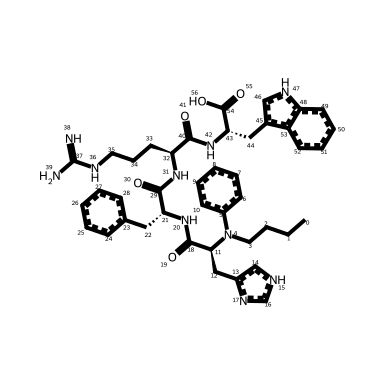 CCCCN(c1ccccc1)[C@@H](Cc1c[nH]cn1)C(=O)N[C@H](Cc1ccccc1)C(=O)N[C@@H](CCCNC(=N)N)C(=O)N[C@@H](Cc1c[nH]c2ccccc12)C(=O)O